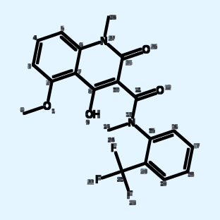 COc1cccc2c1c(O)c(C(=O)N(C)c1ccccc1C(F)(F)F)c(=O)n2C